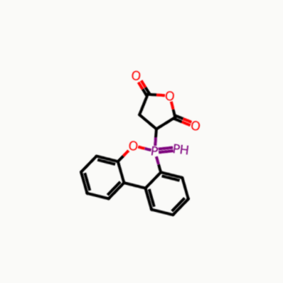 O=C1CC(P2(=P)Oc3ccccc3-c3ccccc32)C(=O)O1